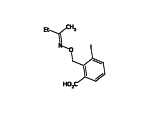 CCC(C)=NOCc1c(I)cccc1C(=O)O